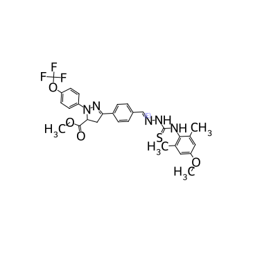 COC(=O)C1CC(c2ccc(/C=N/NC(=S)Nc3c(C)cc(OC)cc3C)cc2)=NN1c1ccc(OC(F)(F)F)cc1